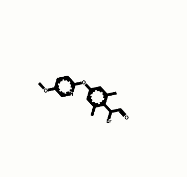 COc1ccc(Oc2cc(C)c(C(Br)C=O)c(C)c2)nc1